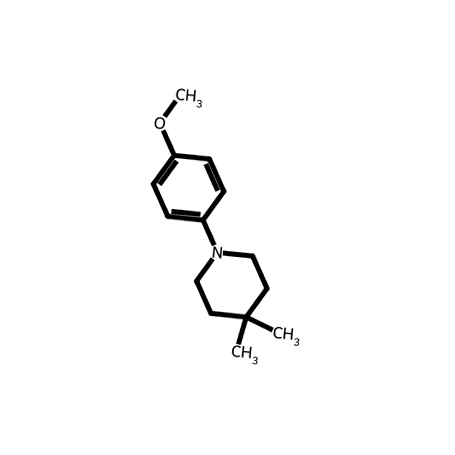 COc1ccc(N2CCC(C)(C)CC2)cc1